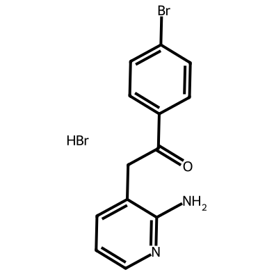 Br.Nc1ncccc1CC(=O)c1ccc(Br)cc1